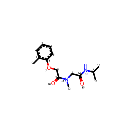 Cc1ccccc1OCC(=O)N(C)CC(=O)NC(C)C